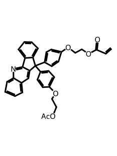 C=CC(=O)OCCOc1ccc(C2(c3ccc(OCCOC(C)=O)cc3)c3ccccc3-c3nc4ccccc4cc32)cc1